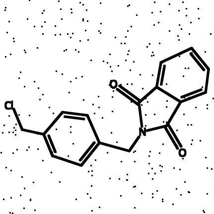 O=C1c2ccccc2C(=O)N1Cc1ccc(CCl)cc1